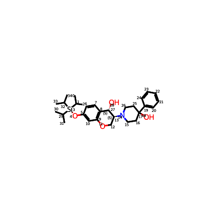 CC(C)[Si](Oc1ccc2c(c1)OC[C@H](N1CCC(O)(c3ccccc3)CC1)[C@H]2O)(C(C)C)C(C)C